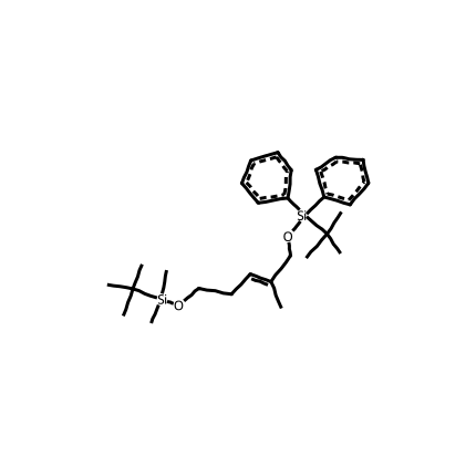 CC(=CCCO[Si](C)(C)C(C)(C)C)CO[Si](c1ccccc1)(c1ccccc1)C(C)(C)C